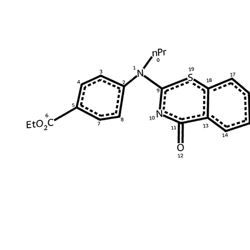 CCCN(c1ccc(C(=O)OCC)cc1)c1nc(=O)c2ccccc2s1